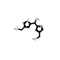 CCc1coc(C(C)c2cc(CC)co2)c1